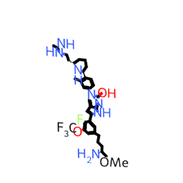 COC[C@H](N)CCCc1cc(OC(F)(F)F)c(F)c(-c2cc3c([nH]2)=NC(O)N(c2ccc([C@@H]4CCC[C@@H](CCNC(C)=N)N4)c(C)c2)C=3)c1